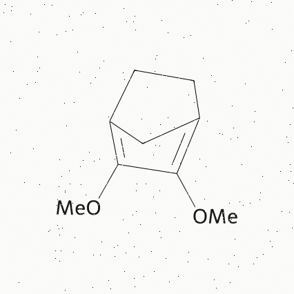 COC1=C2CCC(=C1OC)C2